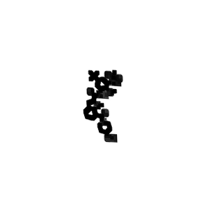 COc1c(NC(=O)c2cc3cccc(C(=O)N4CCC(O)CC4)c3n2C)cc(C(C)(C)C)cc1NS(C)(=O)=O